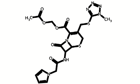 CC(=O)OCOC(=O)C1=C(CSc2nnnn2C)CSC2C(NC(=O)Cn3cccc3)C(=O)N12